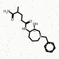 CC(C[CH]C(=O)NC1CCCN(Cc2ccccc2)C[C@@H]1O)C(N)=O